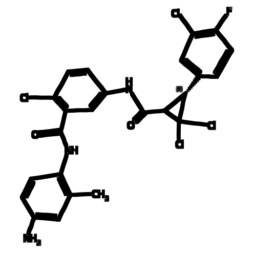 Cc1cc(N)ccc1NC(=O)c1cc(NC(=O)C2[C@H](c3ccc(F)c(Cl)c3)C2(Cl)Cl)ccc1Cl